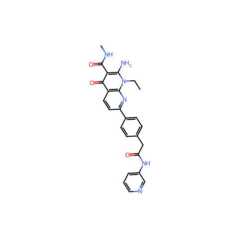 CCn1c(N)c(C(=O)NC)c(=O)c2ccc(-c3ccc(CC(=O)Nc4cccnc4)cc3)nc21